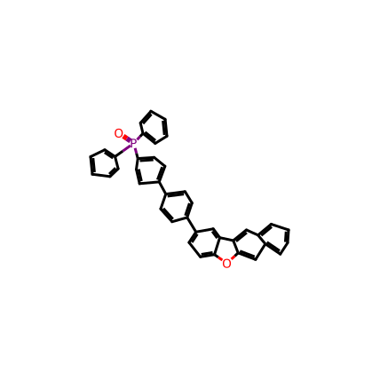 O=P(c1ccccc1)(c1ccccc1)c1ccc(-c2ccc(-c3ccc4oc5cc6ccccc6cc5c4c3)cc2)cc1